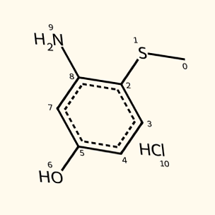 CSc1ccc(O)cc1N.Cl